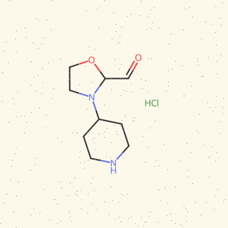 Cl.O=CC1OCCN1C1CCNCC1